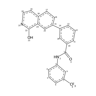 O=C(Nc1cccc(C(F)(F)F)c1)c1cccc(-c2ccc3ccnc(O)c3c2)c1